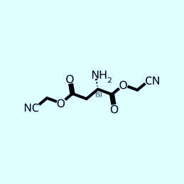 N#CCOC(=O)C[C@H](N)C(=O)OCC#N